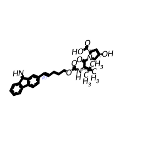 CC(C)(C)[C@H](NC(=O)OCCC/C=C/c1ccc2c(c1)C(=N)c1ccccc1-2)C(=O)N1C[C@H](O)C[C@H]1C(=O)O